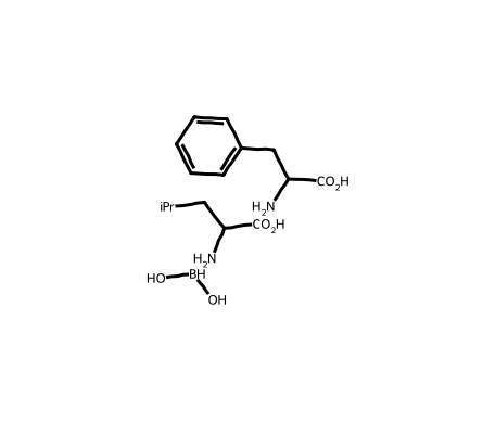 CC(C)CC(N)C(=O)O.NC(Cc1ccccc1)C(=O)O.OBO